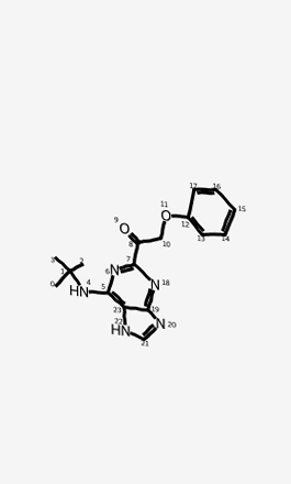 CC(C)(C)Nc1nc(C(=O)COc2ccccc2)nc2nc[nH]c12